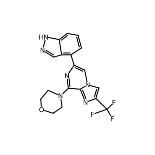 FC(F)(F)c1cn2cc(-c3cccc4[nH]ncc34)nc(N3CCOCC3)c2n1